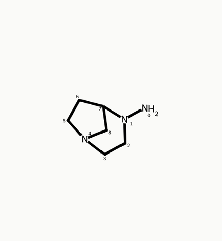 NN1CCN2CCC1C2